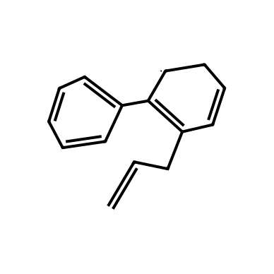 C=CCC1=C(c2ccccc2)[CH]CC=C1